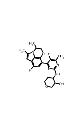 Cc1nc(NC2CCOCC2O)nc(-c2cc(F)c3nc(C)n4c3c2OCC4C)c1F